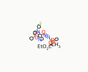 CCOC(=O)[C@@H](C)OP(=O)(CCN1CCN(C(=O)c2c3c(c(OC(c4ccccc4)c4ccccc4)c4ncccc24)C(=O)N(Cc2ccc(F)cc2)C3)CC1)Oc1ccccc1